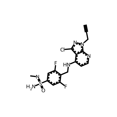 C#CCn1nc(Cl)c2c(NCc3c(F)cc(S(N)(=O)=NC)cc3F)ccnc21